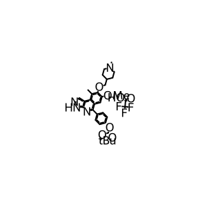 COc1cc2c(-c3ccc(OC(=O)OC(C)(C)C)cc3)nc3[nH]ncc3c2c(C)c1OCC1CCN(C)CC1.O=C(O)C(F)(F)F